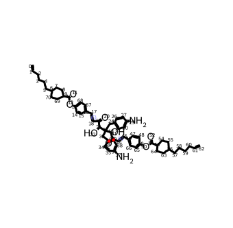 C=CCCCCC1CCC(C(=O)Oc2ccc(/C=C/C(=O)C(O)C(Cc3ccc(N)cc3)(Cc3ccc(N)cc3)C(O)C(=O)/C=C/c3ccc(OC(=O)C4CCC(CCCCC=C)CC4)cc3)cc2)CC1